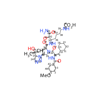 COc1ccc(C(=O)N[C@H](CC2CCCCC2)C(=O)N2C[C@@H](n3nncc3C(C)(C)O)C[C@H]2C(=O)NC(CCCCNC(=O)O)C(=O)C(N)=O)cc1